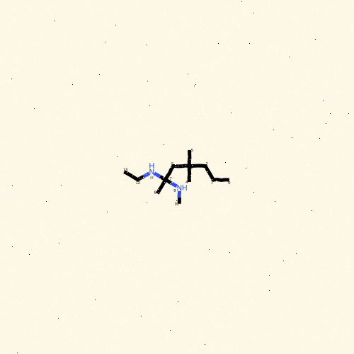 CCCC(C)(C)CC(C)(NC)NCC